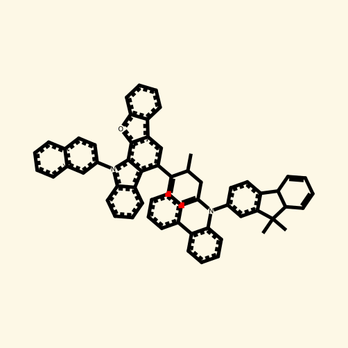 CC1CC(N(c2ccc3c(c2)C(C)(C)C2C=CC=CC32)c2ccccc2-c2ccccc2)=CC=C1c1cc2c3ccccc3oc2c2c1c1ccccc1n2-c1ccc2ccccc2c1